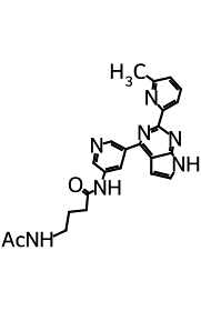 CC(=O)NCCCC(=O)Nc1cncc(-c2nc(-c3cccc(C)n3)nc3[nH]ccc23)c1